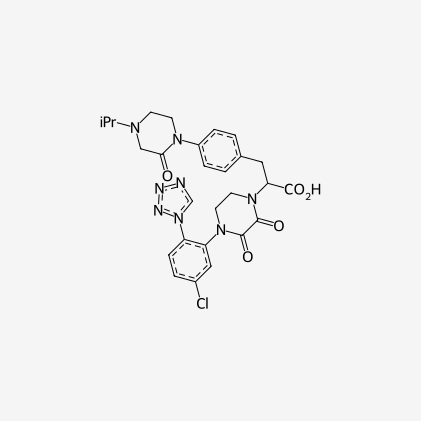 CC(C)N1CCN(c2ccc(CC(C(=O)O)N3CCN(c4cc(Cl)ccc4-n4cnnn4)C(=O)C3=O)cc2)C(=O)C1